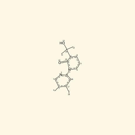 Cc1cnc(-n2cccc(C(C)(C)O)c2=O)cc1I